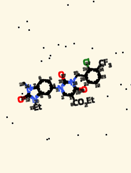 CCOC(=O)c1cn(-c2ccc3c(c2)n(CC)c(=O)n3C)c(=O)n(Cc2cccc(C(F)(F)F)c2Cl)c1=O